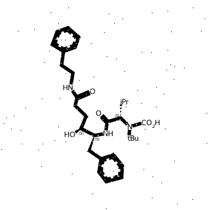 CC(C)[C@@H](C(=O)N[C@@H](Cc1ccccc1)[C@@H](O)CCC(=O)NCCc1ccccc1)N(C(=O)O)C(C)(C)C